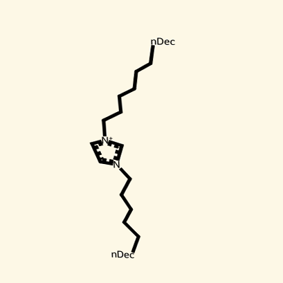 CCCCCCCCCCCCCCCC[n+]1ccn(CCCCCCCCCCCCCCC)c1